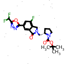 CC(C)(C)OC(=O)N1CCC[C@H]1CN1Cc2c(F)cc(-c3nnc(C(F)F)o3)cc2C1=O